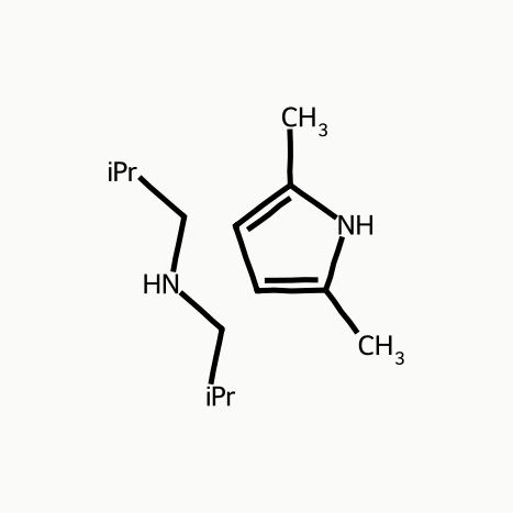 CC(C)CNCC(C)C.Cc1ccc(C)[nH]1